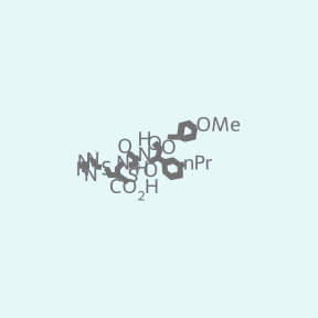 CCCC1C=CCC(C(C(=O)NC2C(=O)N3CC(CSc4nnnn4C)(C(=O)O)CS[C@H]23)C(=O)OCc2ccc(OC)cc2)=C1